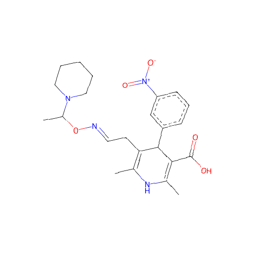 CC1=C(CC=NOC(C)N2CCCCC2)C(c2cccc([N+](=O)[O-])c2)C(C(=O)O)=C(C)N1